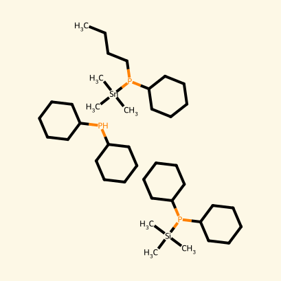 C1CCC(PC2CCCCC2)CC1.CCCC[P](C1CCCCC1)[Sn]([CH3])([CH3])[CH3].C[Si](C)(C)P(C1CCCCC1)C1CCCCC1